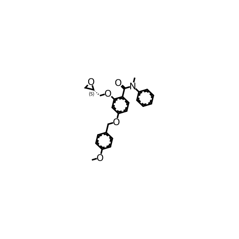 COc1ccc(COc2ccc(C(=O)N(C)c3ccccc3)c(OC[C@@H]3CO3)c2)cc1